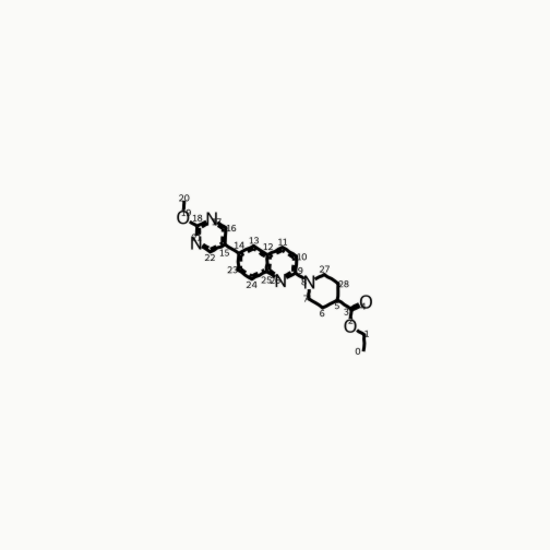 CCOC(=O)C1CCN(c2ccc3cc(-c4cnc(OC)nc4)ccc3n2)CC1